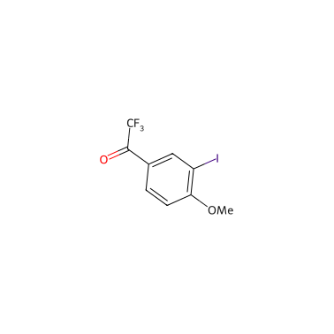 COc1ccc(C(=O)C(F)(F)F)cc1I